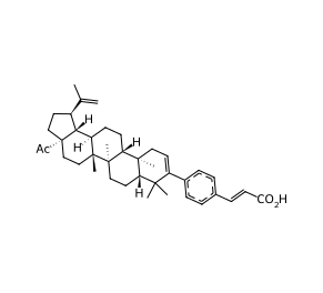 C=C(C)[C@@H]1CC[C@]2(C(C)=O)CC[C@]3(C)[C@H](CC[C@@H]4[C@@]5(C)CC=C(c6ccc(/C=C/C(=O)O)cc6)C(C)(C)[C@@H]5CC[C@]43C)[C@@H]12